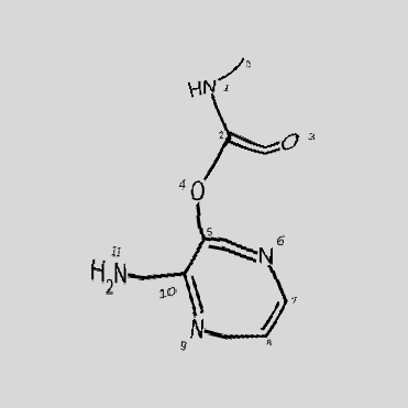 CNC(=O)Oc1nccnc1N